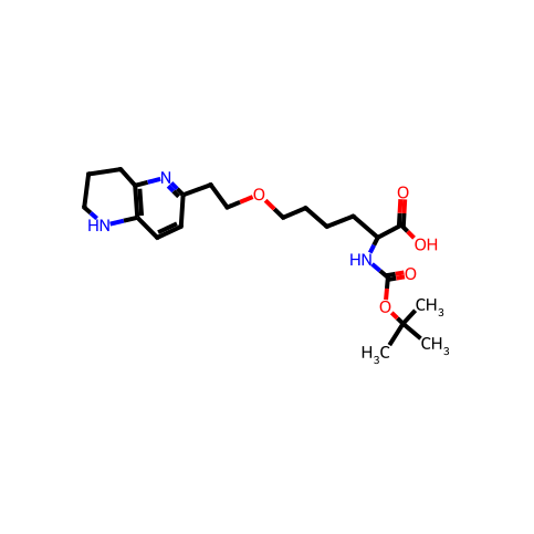 CC(C)(C)OC(=O)NC(CCCCOCCc1ccc2c(n1)CCCN2)C(=O)O